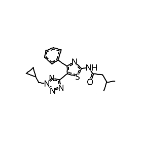 CC(C)CC(=O)Nc1nc(-c2ccccc2)c(-c2nnn(CC3CC3)n2)s1